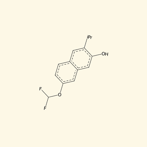 CC(C)c1cc2ccc(OC(F)F)cc2cc1O